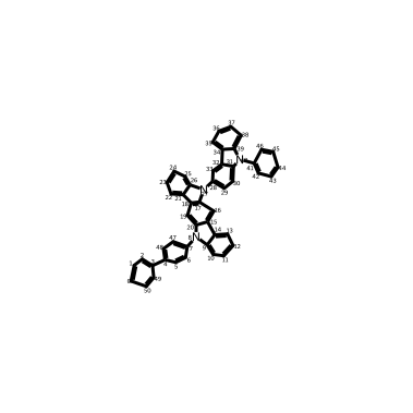 c1ccc(-c2ccc(-n3c4ccccc4c4cc5c(cc43)c3ccccc3n5-c3ccc4c(c3)c3ccccc3n4-c3ccccc3)cc2)cc1